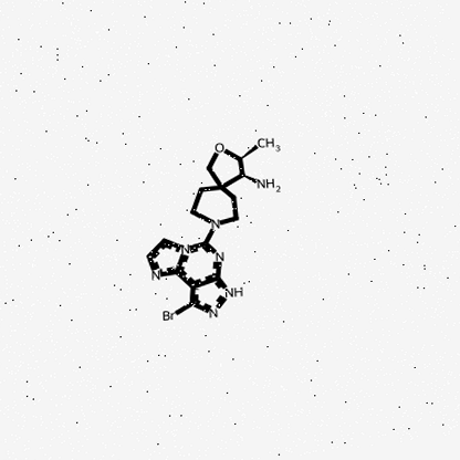 C[C@@H]1OCC2(CCN(c3nc4[nH]nc(Br)c4c4nccn34)CC2)[C@@H]1N